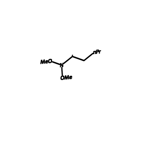 CCCC[CH]N(OC)OC